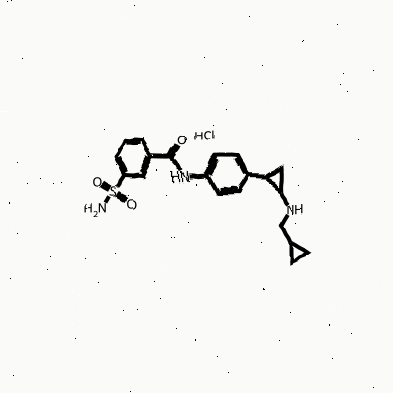 Cl.NS(=O)(=O)c1cccc(C(=O)Nc2ccc(C3CC3NCC3CC3)cc2)c1